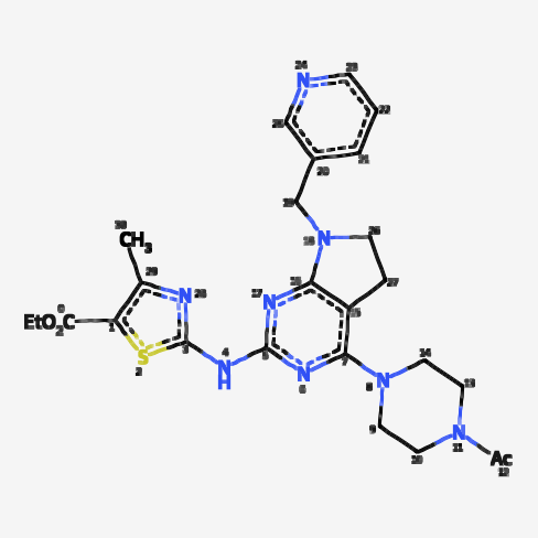 CCOC(=O)c1sc(Nc2nc(N3CCN(C(C)=O)CC3)c3c(n2)N(Cc2cccnc2)CC3)nc1C